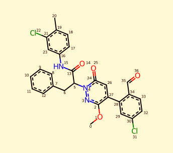 COc1nn(C(Cc2ccccc2)C(=O)Nc2ccc(C)c(Cl)c2)c(=O)cc1-c1cc(Cl)ccc1C=O